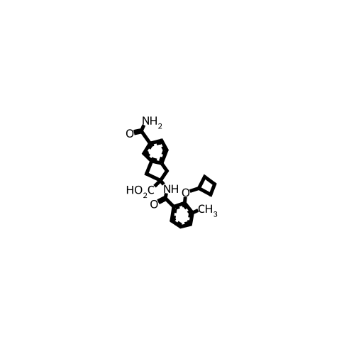 Cc1cccc(C(=O)NC2(C(=O)O)Cc3ccc(C(N)=O)cc3C2)c1OC1CCC1